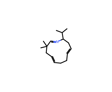 CC(C)C1C/C=C/CC/C=C/CC(C)(C)/C=N/1